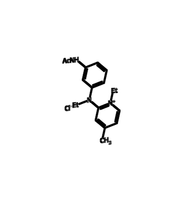 CCN(c1cccc(NC(C)=O)c1)c1cc(C)cc[n+]1CC.[Cl-]